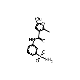 Cc1oc(C(C)(C)C)cc1C(=O)Nc1cccc(S(N)(=O)=O)c1